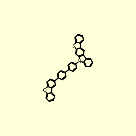 c1ccc2c(c1)oc1ccc(-c3ccc(-c4ccc(-n5c6ccccc6c6cc7c(cc65)sc5ccccc57)cc4)cc3)cc12